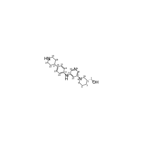 OC[C@@H]1CCCN(c2cncc(Nc3ccc(C4CCNCC4)cc3)c2)C1